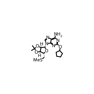 CSC[C@H]1O[C@@H](n2cnc3c(N)nc(OC4CCCC4)nc32)[C@@H]2OC(C)(C)O[C@@H]21